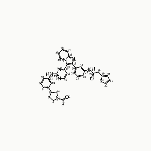 CC(=O)N1CCC(c2cccc(Nc3nccc(-c4c(-c5cccc(NC(=O)Cc6cccs6)c5)nc5ccccn45)n3)c2)C1